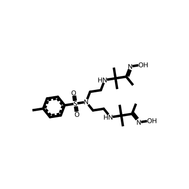 CC(=NO)C(C)(C)NCCN(CCNC(C)(C)C(C)=NO)S(=O)(=O)c1ccc(C)cc1